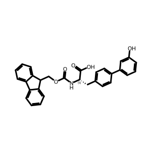 O=C(N[C@@H](Cc1ccc(-c2cccc(O)c2)cc1)C(=O)O)OCC1c2ccccc2-c2ccccc21